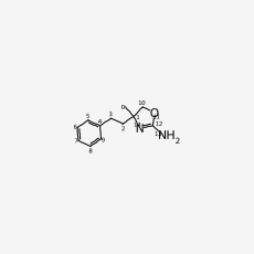 CC1(CCc2ccccc2)COC(N)=N1